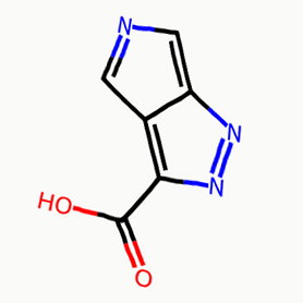 O=C(O)C1=C2C=NC=C2N=N1